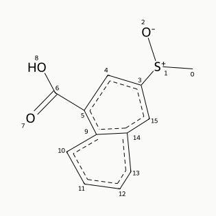 C[S+]([O-])c1cc(C(=O)O)c2ccccc2c1